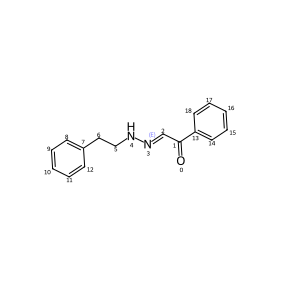 O=C(/C=N/NCCc1ccccc1)c1ccccc1